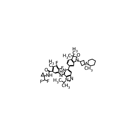 Cc1c(C(=O)NC2(C(F)F)CC2)cc(Nc2nc(-c3ccc4c(c3)N([C@H]3C[C@@](C)(N5CCCCC5)C3)C(=O)C4(C)C)cc3ncn(C(C)C)c23)c(F)c1F